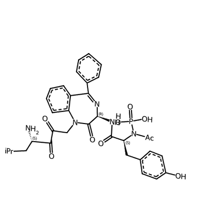 CC(=O)N([C@@H](Cc1ccc(O)cc1)C(=O)N[C@@H]1N=C(c2ccccc2)c2ccccc2N(CC(=O)C(=O)[C@@H](N)CC(C)C)C1=O)P(=O)(O)O